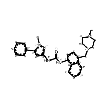 CN1CCN(Cc2ccc(NC(=O)Nc3cc(-c4ccccc4)n(C)n3)c3ccccc23)CC1